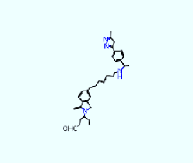 C=CC(CCC=O)N1Cc2cc(CCCCCCCNC(=C)c3ccc(C4=NN=C(C)C4)cc3)ccc2C1=C